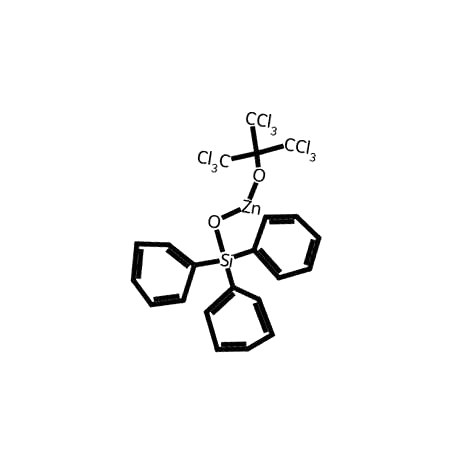 ClC(Cl)(Cl)C([O][Zn][O][Si](c1ccccc1)(c1ccccc1)c1ccccc1)(C(Cl)(Cl)Cl)C(Cl)(Cl)Cl